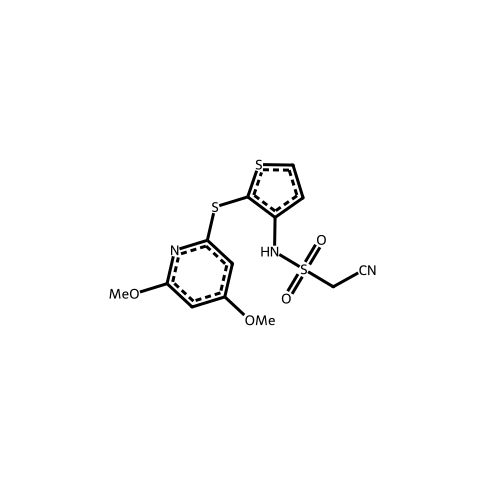 COc1cc(OC)nc(Sc2sccc2NS(=O)(=O)CC#N)c1